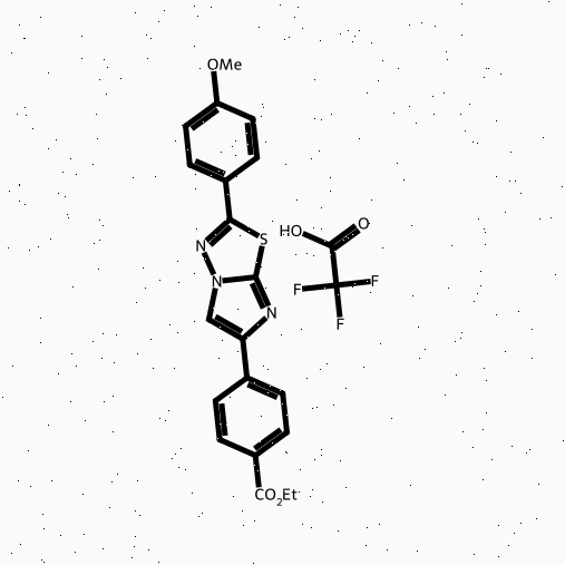 CCOC(=O)c1ccc(-c2cn3nc(-c4ccc(OC)cc4)sc3n2)cc1.O=C(O)C(F)(F)F